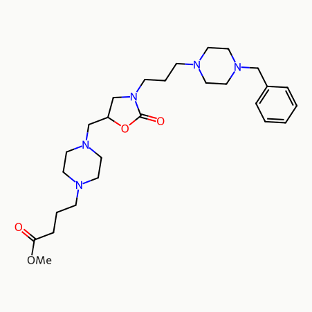 COC(=O)CCCN1CCN(CC2CN(CCCN3CCN(Cc4ccccc4)CC3)C(=O)O2)CC1